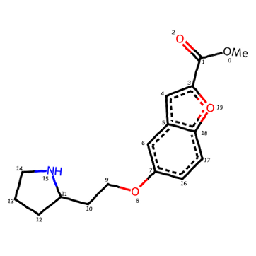 COC(=O)c1cc2cc(OCCC3CCCN3)ccc2o1